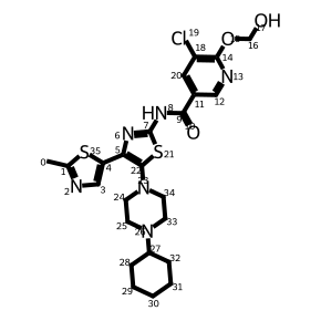 Cc1ncc(-c2nc(NC(=O)c3cnc(OCO)c(Cl)c3)sc2N2CCN(C3CCCCC3)CC2)s1